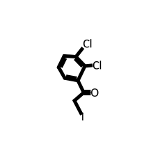 O=C(CI)c1cccc(Cl)c1Cl